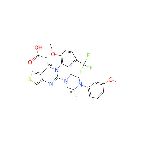 COc1cccc(N2CCN(C3=Nc4cscc4[C@H](CC(=O)O)N3c3cc(C(F)(F)F)ccc3OC)C[C@H]2C)c1